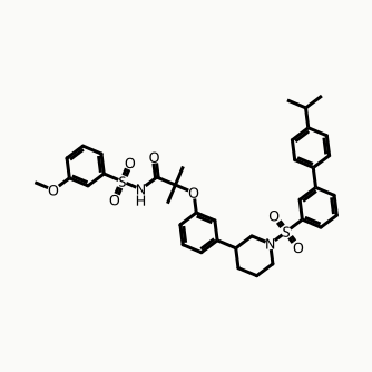 COc1cccc(S(=O)(=O)NC(=O)C(C)(C)Oc2cccc(C3CCCN(S(=O)(=O)c4cccc(-c5ccc(C(C)C)cc5)c4)C3)c2)c1